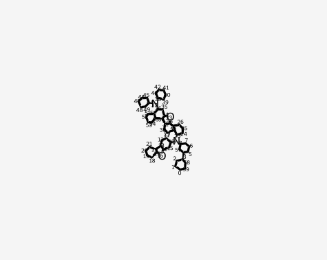 c1ccc(-c2cccc(N(c3ccc4c(c3)oc3ccccc34)c3cccc4c3ccc3c4oc4cc(N(c5ccccc5)c5ccccc5)c5ccccc5c43)c2)cc1